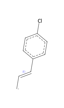 [CH2]/C=C/c1ccc(Cl)cc1